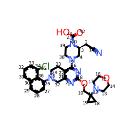 N#CC[C@H]1CN(c2nc(OCC3(N4CCOCC4)CC3)nc3c2CCN(c2cccc4cccc(Cl)c24)C3)CCN1C(=O)O